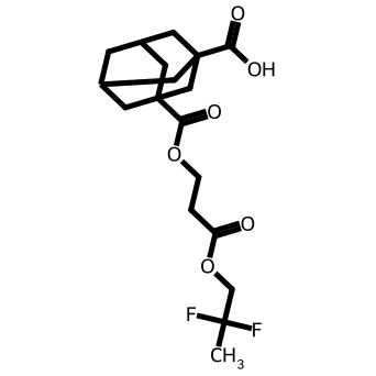 CC(F)(F)COC(=O)CCOC(=O)C12CC3CC(CC(C(=O)O)(C3)C1)C2